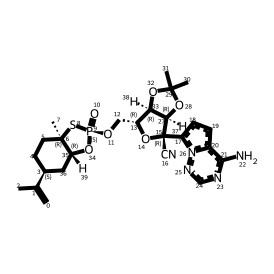 C=C(C)[C@H]1CC[C@@]2(C)S[P@@](=O)(OC[C@H]3O[C@@](C#N)(c4ccc5c(N)ncnn45)[C@@H]4OC(C)(C)O[C@@H]43)O[C@@H]2C1